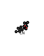 N#Cc1cc(-c2ccccc2)cc([Si](c2ccccc2)(c2ccccc2)c2cccc(-n3c4ccccc4c4cc(-c5cccc6c7ccccc7n(-c7ccccc7)c56)ccc43)c2)c1